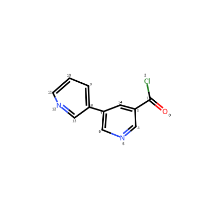 O=C(Cl)c1cncc(-c2cccnc2)c1